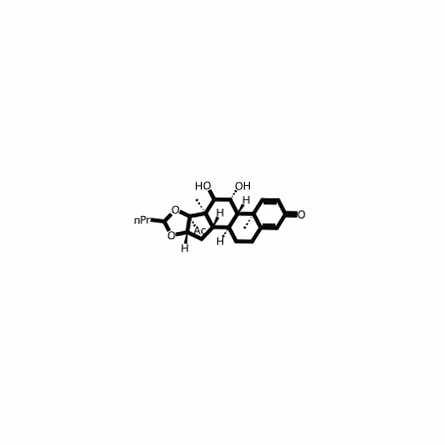 CCCC1O[C@H]2C[C@H]3[C@@H]4CCC5=CC(=O)C=C[C@]5(C)[C@H]4[C@@H](O)C(O)[C@]3(C)[C@]2(C(C)=O)O1